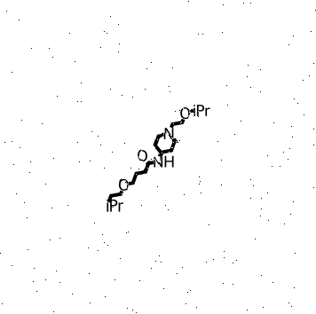 CC(C)CCOCCCC(=O)NC1CCN(CCOC(C)C)CC1